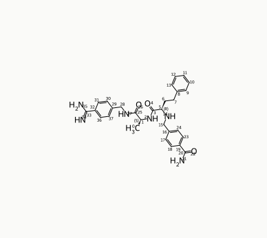 C[C@H](NC(=O)[C@@H](CCc1ccccc1)NCc1ccc(C(N)=O)cc1)C(=O)NCc1ccc(C(=N)N)cc1